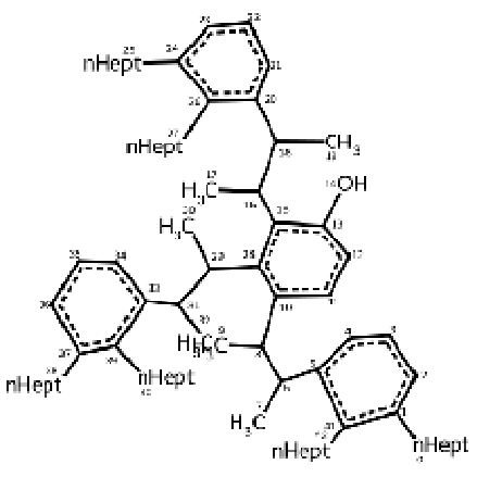 CCCCCCCc1cccc(C(C)C(C)c2ccc(O)c(C(C)C(C)c3cccc(CCCCCCC)c3CCCCCCC)c2C(C)C(C)c2cccc(CCCCCCC)c2CCCCCCC)c1CCCCCCC